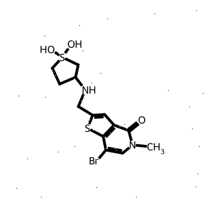 Cn1cc(Br)c2sc(CNC3CCS(O)(O)C3)cc2c1=O